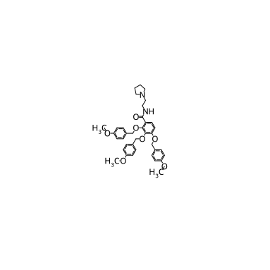 COc1ccc(COc2ccc(C(=O)NCCN3CCCC3)c(OCc3ccc(OC)cc3)c2OCc2ccc(OC)cc2)cc1